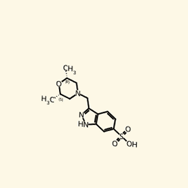 C[C@@H]1CN(Cc2n[nH]c3cc(S(=O)(=O)O)ccc23)C[C@H](C)O1